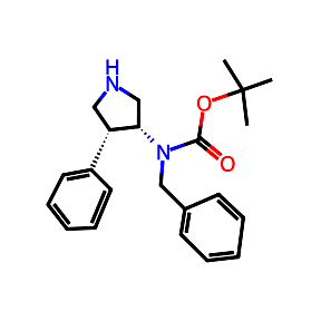 CC(C)(C)OC(=O)N(Cc1ccccc1)[C@H]1CNC[C@H]1c1ccccc1